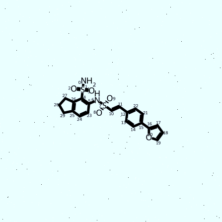 NS(=O)(=O)c1c(NS(=O)(=O)C=Cc2ccc(-c3ccco3)cc2)ccc2c1CCC2